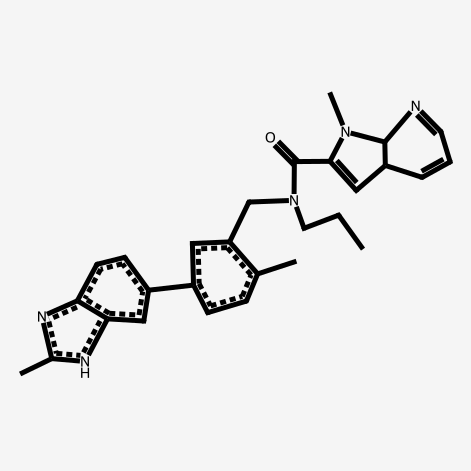 CCCN(Cc1cc(-c2ccc3nc(C)[nH]c3c2)ccc1C)C(=O)C1=CC2C=CC=NC2N1C